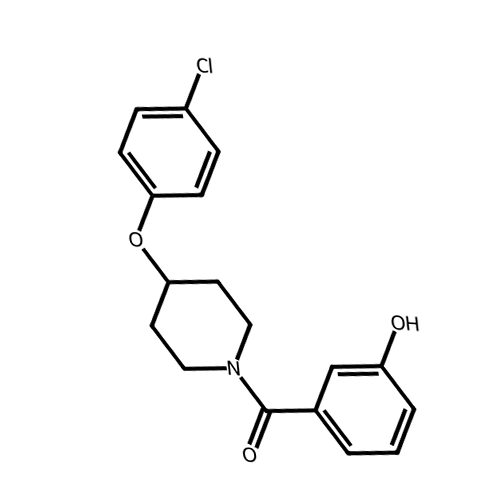 O=C(c1cccc(O)c1)N1CCC(Oc2ccc(Cl)cc2)CC1